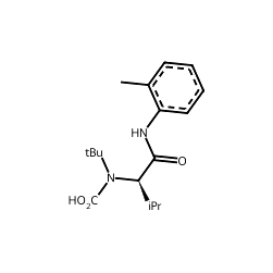 Cc1ccccc1NC(=O)[C@@H](C(C)C)N(C(=O)O)C(C)(C)C